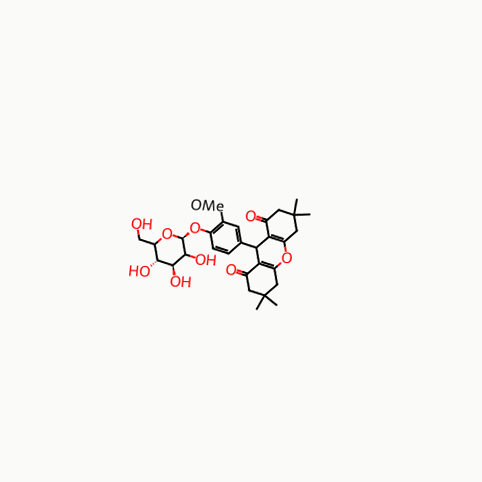 COc1cc(C2C3=C(CC(C)(C)CC3=O)OC3=C2C(=O)CC(C)(C)C3)ccc1O[C@@H]1OC(CO)[C@@H](O)[C@H](O)C1O